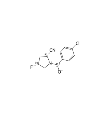 N#C[C@H]1C[C@@H](F)CN1[S+]([O-])c1ccc(Cl)cc1